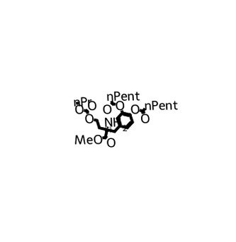 CCCCCC(=O)Oc1ccc(C[C@](N)(CCOC(=O)OCCC)C(=O)OC)cc1OC(=O)CCCCC